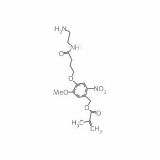 C=C(C)C(=O)OCc1cc(OC)c(OCCCC(=O)NCCN)cc1[N+](=O)[O-]